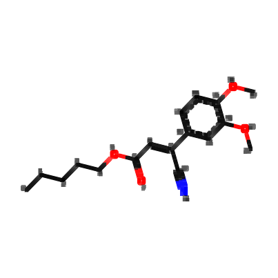 CCCCCOC(=O)C=C(C#N)c1ccc(OC)c(OC)c1